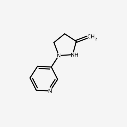 C=C1CCN(c2cccnc2)N1